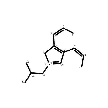 C/C=C\C1=C(/C=C\C)C[N+](CC(C)C)=C1